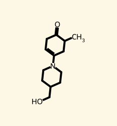 CC1CC(N2CCC(CO)CC2)=CCC1=O